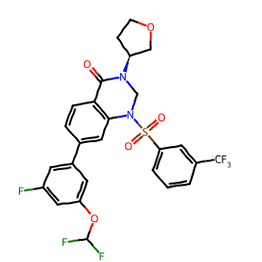 O=C1c2ccc(-c3cc(F)cc(OC(F)F)c3)cc2N(S(=O)(=O)c2cccc(C(F)(F)F)c2)CN1[C@H]1CCOC1